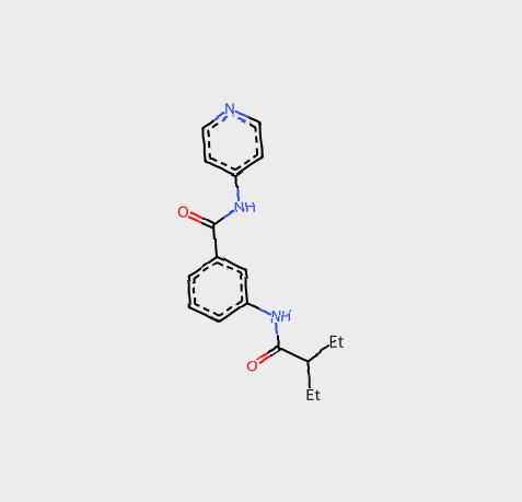 CCC(CC)C(=O)Nc1cccc(C(=O)Nc2ccncc2)c1